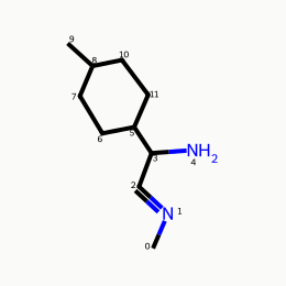 C/N=C/C(N)C1CCC(C)CC1